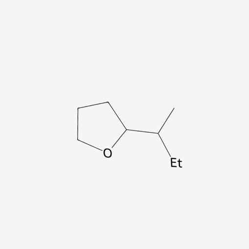 CCC(C)C1CCCO1